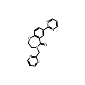 O=C1c2cc(-c3ncccn3)ccc2OCCN1Cc1ncccn1